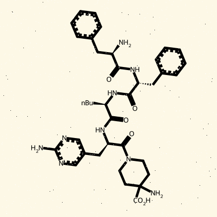 CCCC[C@@H](NC(=O)[C@@H](Cc1ccccc1)NC(=O)[C@H](N)Cc1ccccc1)C(=O)N[C@H](Cc1cnc(N)nc1)C(=O)N1CCC(N)(C(=O)O)CC1